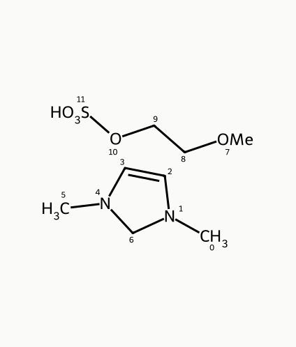 CN1C=CN(C)C1.COCCOS(=O)(=O)O